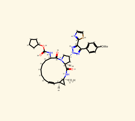 COc1ccc(-c2nn([C@@H]3C[C@H]4C(=O)N[C@@]5(C(=O)O)C[C@H]5/C=C\CCCCC[C@@H](NC(=O)OC5CCCC5)C(=O)N4C3)nc2-c2nccs2)cc1